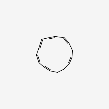 C1=C\C=C/C=C\CC/C=C\C/C=C\C=C/1